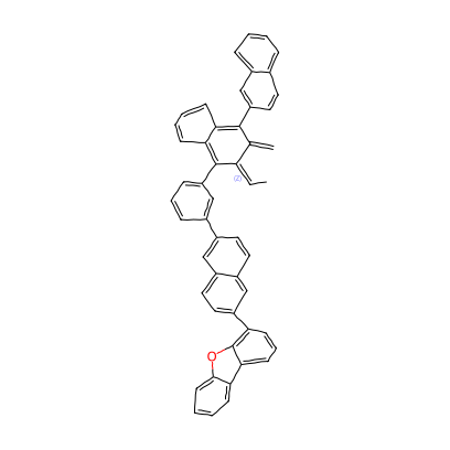 C=c1c(-c2ccc3ccccc3c2)c2ccccc2c(-c2cccc(-c3ccc4cc(-c5cccc6c5oc5ccccc56)ccc4c3)c2)/c1=C/C